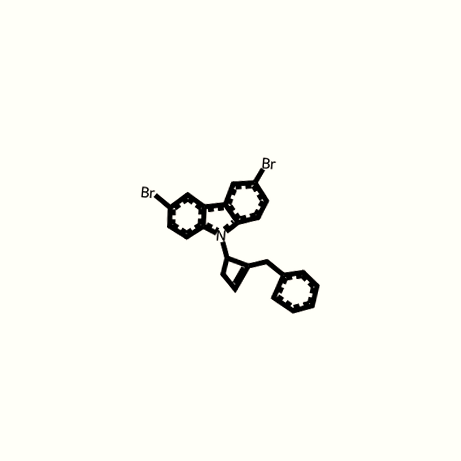 Brc1ccc2c(c1)c1cc(Br)ccc1n2C1CC=C1Cc1ccccc1